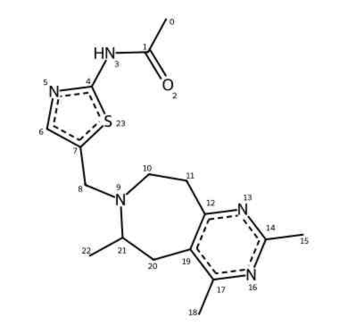 CC(=O)Nc1ncc(CN2CCc3nc(C)nc(C)c3CC2C)s1